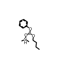 CCCCOB(Oc1ccccc1)O[SiH](C)C